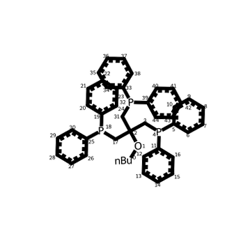 CCCCOC(CP(c1ccccc1)c1ccccc1)(CP(c1ccccc1)c1ccccc1)CP(c1ccccc1)c1ccccc1